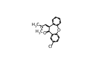 CN(C)C=C1C(=O)c2cc(Cl)ccc2Oc2ccccc21